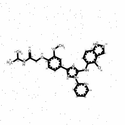 COc1cc(-c2nc(Nc3ccc4[nH]ncc4c3Cl)n(-c3ccccn3)n2)ccc1OCC(=O)NC(C)C